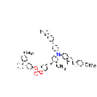 COc1ccc(CCc2ccc(N(c3ccc(-c4ccc(C)cc4)cc3)c3ccc(CCc4ccc(OC(=O)Oc5ccc(C6(c7ccc(OC(C)=O)cc7)CCCCC6)cc5)cc4)c(C)c3)cc2C)cc1